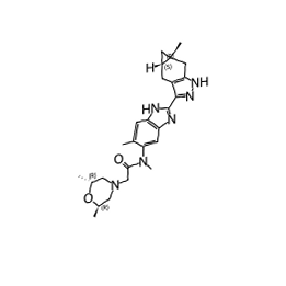 Cc1cc2[nH]c(-c3n[nH]c4c3C[C@@H]3C[C@]3(C)C4)nc2cc1N(C)C(=O)CN1C[C@@H](C)O[C@H](C)C1